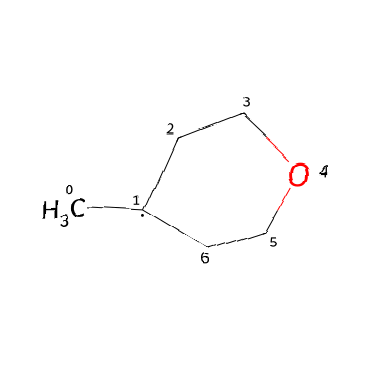 C[C]1CCOCC1